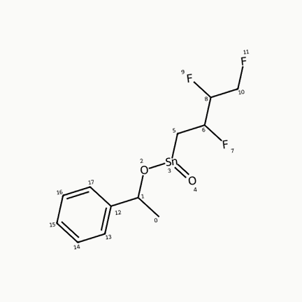 CC([O][Sn](=[O])[CH2]C(F)C(F)CF)c1ccccc1